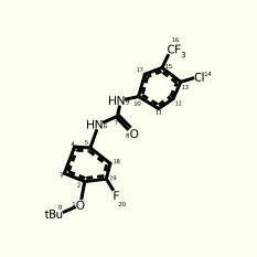 CC(C)(C)Oc1ccc(NC(=O)Nc2ccc(Cl)c(C(F)(F)F)c2)cc1F